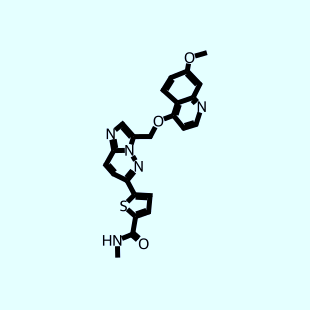 CNC(=O)c1ccc(-c2ccc3ncc(COc4ccnc5cc(OC)ccc45)n3n2)s1